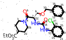 CCOC(=O)C1CCN(C(=O)[C@H](COCc2ccccc2)NC(=O)Nc2ccccc2Cl)CC1